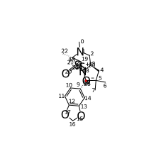 CN1C[C@]23CC(C)(C)[C@H](c4ccc5c(c4)OCO5)N2C(=O)[C@@]1(C)S[S+]3[O-]